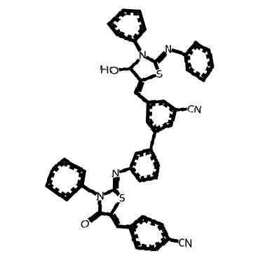 N#Cc1ccc(/C=C2\S/C(=N\c3cccc(-c4cc(C#N)cc(/C=C5\S/C(=N\c6ccccc6)N(c6ccccc6)C5O)c4)c3)N(c3ccccc3)C2=O)cc1